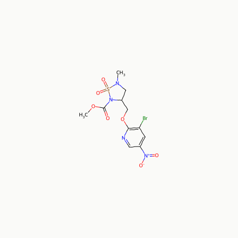 COC(=O)N1C(COc2ncc([N+](=O)[O-])cc2Br)CN(C)S1(=O)=O